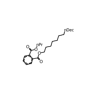 CCCCCCCCCCCCCCCCCOC(=O)c1ccccc1C(=O)OCCC